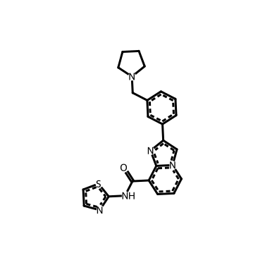 O=C(Nc1nccs1)c1cccn2cc(-c3cccc(CN4CCCC4)c3)nc12